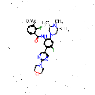 COc1cccc(C(=O)Nc2cc(-c3cnc(N4CCOCC4)nc3)c(F)cc2N2C[C@@H](C)N(C)[C@@H](C)C2)c1F